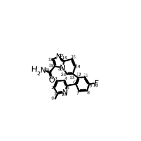 Cc1cccc(-c2ccc(F)cc2-c2ccc3ncc(C(N)=O)n3c2)n1